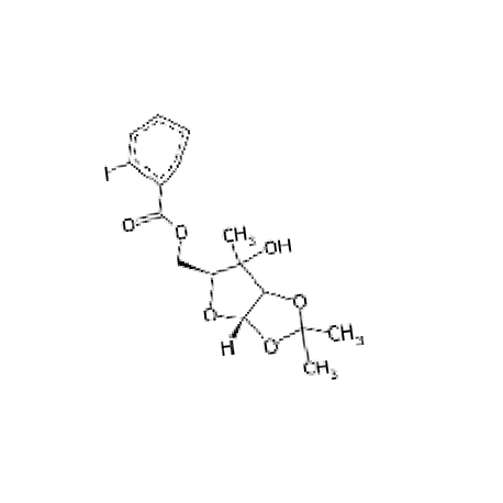 CC1(C)OC2[C@@H](O[C@@H](COC(=O)c3ccccc3I)C2(C)O)O1